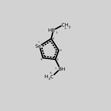 CBc1[c]c(BC)[se]c1